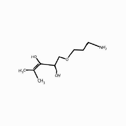 CC(C)=C(O)C(O)COCCCN